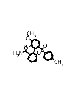 COc1ccc(S(=O)(=O)c2ccc(C)cc2)c(-c2ccccc2C(N)=O)c1Br